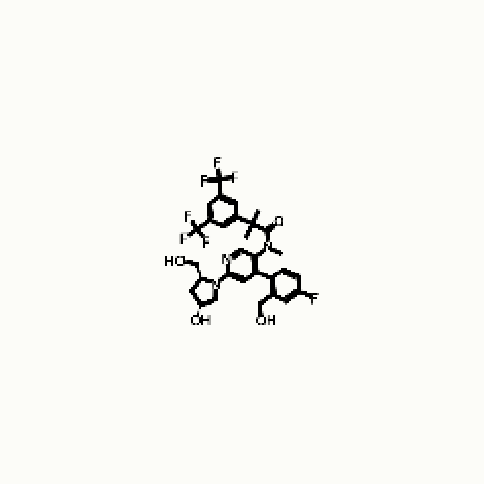 CN(C(=O)C(C)(C)c1cc(C(F)(F)F)cc(C(F)(F)F)c1)c1cnc(N2C[C@H](O)C[C@H]2CO)cc1-c1ccc(F)cc1CO